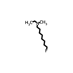 CCN(C)CCCCCCCCF